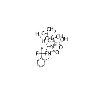 CC(C)(C)CC(C)(C)[C@@H](C(=O)O)N1CCN(Cc2ccccc2C(F)(F)F)C1=O